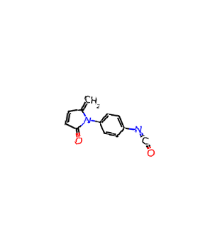 C=C1C=CC(=O)N1c1ccc(N=C=O)cc1